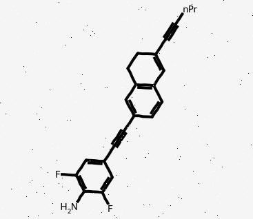 CCCC#CC1=Cc2ccc(C#Cc3cc(F)c(N)c(F)c3)cc2CC1